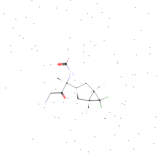 CC(C)(C)OC(=O)N[C@@](C)(C(=O)CI)[C@@H]1C[C@@H]2[C@H](C1)C2(F)F